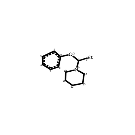 CCC(Oc1cc[c]cc1)N1CCCCC1